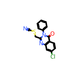 N#CSCc1nc2cc(Cl)ccc2c(=O)n1-c1ccccc1